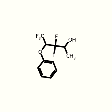 CC(O)C(F)(F)C(Oc1ccccc1)C(F)(F)F